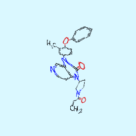 C=CC(=O)N1CCC(n2c(=O)n(-c3ccc(Oc4ccccc4)c(C)c3)c3cnccc32)C1